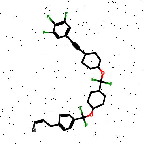 CC/C=C\Cc1ccc(C(F)(F)OC2CCC(C(F)(F)OC3CCC(C#Cc4cc(F)c(F)c(F)c4)CC3)CC2)cc1